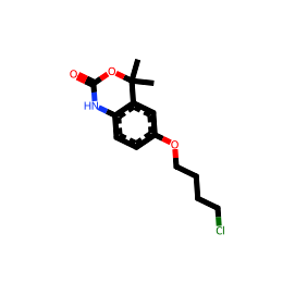 CC1(C)OC(=O)Nc2ccc(OCCCCCl)cc21